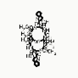 CSC[C@H]1C(=O)SC[C@@H](NC(=O)c2nc3ccccc3cc2O)C(=O)NCC(=O)N(C)[C@H]2CSSC[C@@H](C(=O)N1C)N(C)C(=O)CNC(=O)[C@H](NC(=O)c1nc3ccccc3cc1O)CSC(=O)[C@H](CSC)N(C)[C@H]2O